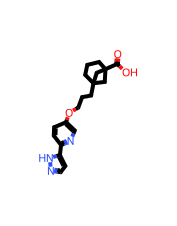 O=C(O)C12CCCC(CCCOc3ccc(-c4ccn[nH]4)nc3)(C1)C2